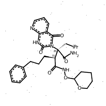 CC(C)C[C@](C(N)=O)([C@H](CCCc1ccccc1)C(=O)NOC1CCCCO1)n1c(=O)[nH]c2ncccc2c1=O